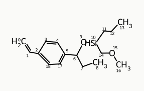 C=Cc1ccc(C(CC)O[SiH](CCC)COC)cc1